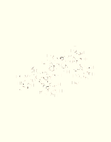 CC(=O)NC1[C@H](OC2C(O)[C@H](O)C(CO)O[C@@H]2O[C@@H]2C(O)[C@H](O[C@@H]3C(CO)O[C@@H](O[C@@H]4C(CO)O[C@@H](C)C(NC(C)=O)[C@H]4O)C(NC(C)=O)[C@H]3O)OC(CO[C@H]3OC(CO)[C@@H](O)[C@H](O)C3O)[C@H]2O)OC(CO)[C@@H](OC2OC(CO[C@]3(OC=O)C[C@@H](O)[C@@H](C)C(C(O)[C@H](O)CO)O3)[C@H](O)[C@H](O)[C@@H]2O)[C@@H]1O